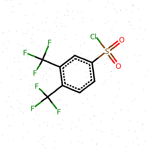 O=S(=O)(Cl)c1ccc(C(F)(F)F)c(C(F)(F)F)c1